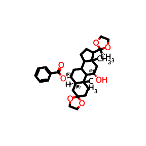 CC1(C2CCC3C4C[C@@H](OC(=O)c5ccccc5)[C@@H]5CC6(CCC5(C)C4[C@H](O)CC32C)OCCO6)OCCO1